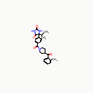 Cc1ccccc1C(=O)C1CCN(C(=O)c2ccc(C3(C(C)C)NC(=O)NC3=O)cc2)CC1